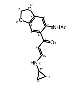 CC(=O)Nc1cc2c(cc1C(=O)/C=C/NC1CC1)OCO2